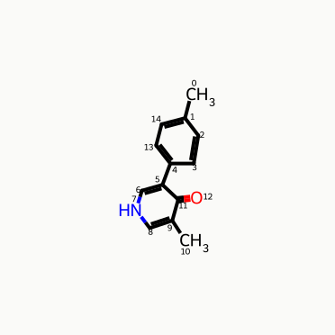 Cc1ccc(-c2c[nH]cc(C)c2=O)cc1